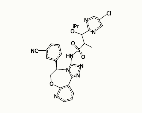 CC(C)OC(c1ncc(Cl)cn1)C(C)S(=O)(=O)Nc1nnc2n1[C@H](c1cccc(C#N)c1)COc1ncccc1-2